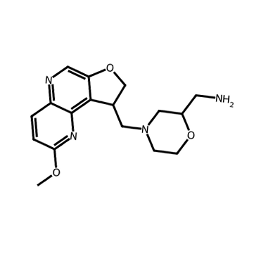 COc1ccc2ncc3c(c2n1)C(CN1CCOC(CN)C1)CO3